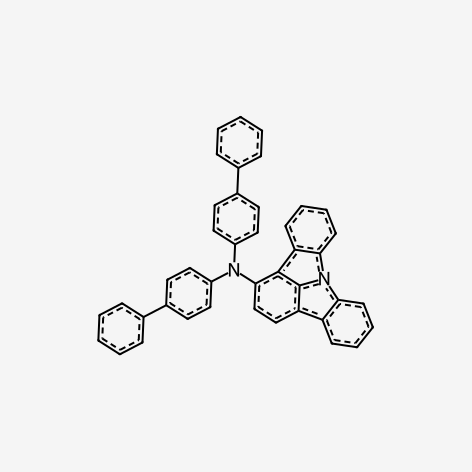 c1ccc(-c2ccc(N(c3ccc(-c4ccccc4)cc3)c3ccc4c5ccccc5n5c6ccccc6c3c45)cc2)cc1